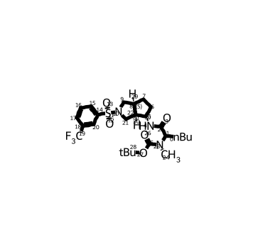 CCCCC(C(=O)N[C@H]1CC[C@@H]2CN(S(=O)(=O)c3cccc(C(F)(F)F)c3)C[C@@H]21)N(C)C(=O)OC(C)(C)C